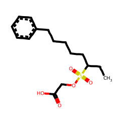 C[CH]C(CCCCCc1ccccc1)S(=O)(=O)OCC(=O)O